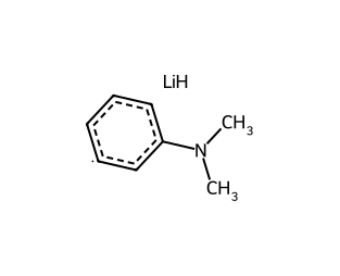 CN(C)c1c[c]ccc1.[LiH]